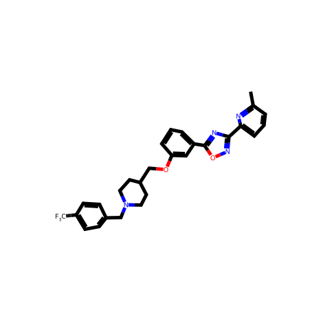 Cc1cccc(-c2noc(-c3cccc(OCC4CCN(Cc5ccc(C(F)(F)F)cc5)CC4)c3)n2)n1